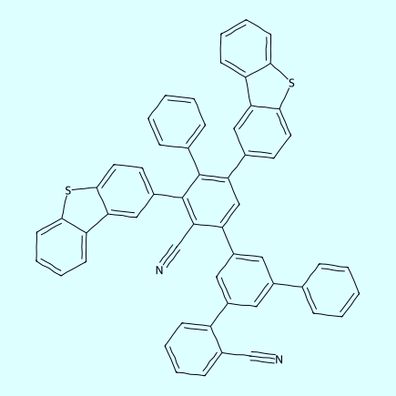 N#Cc1ccccc1-c1cc(-c2ccccc2)cc(-c2cc(-c3ccc4sc5ccccc5c4c3)c(-c3ccccc3)c(-c3ccc4sc5ccccc5c4c3)c2C#N)c1